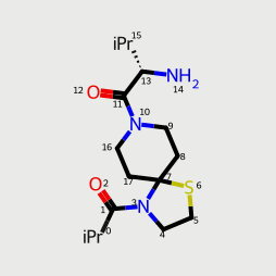 CC(C)C(=O)N1CCSC12CCN(C(=O)[C@@H](N)C(C)C)CC2